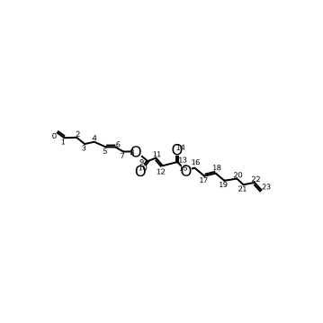 C=CCCCC=CCOC(=O)/C=C/C(=O)OCC=CCCCC=C